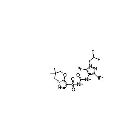 CC(C)c1nn(CC(F)F)c(C(C)C)c1NC(=O)NS(=O)(=O)c1cnn2c1OCC(C)(C)C2